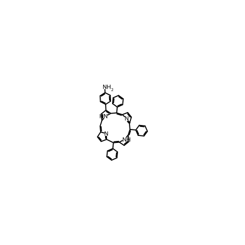 Nc1ccc(-c2cc3cc4nc(c(-c5ccccc5)c5ccc([nH]5)c(-c5ccccc5)c5nc(c(-c6ccccc6)c2[nH]3)C=C5)C=C4)cc1